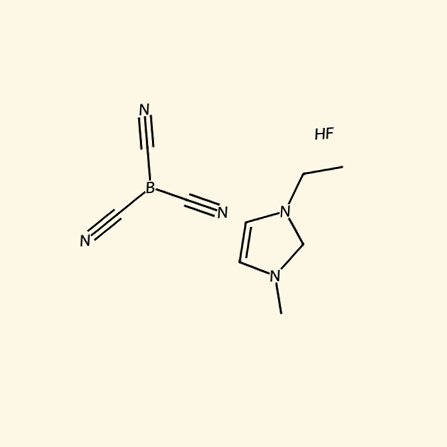 CCN1C=CN(C)C1.F.N#CB(C#N)C#N